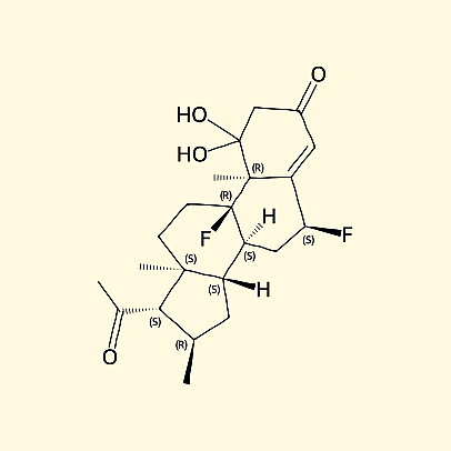 CC(=O)[C@H]1[C@H](C)C[C@H]2[C@@H]3C[C@H](F)C4=CC(=O)CC(O)(O)[C@]4(C)[C@@]3(F)CC[C@@]21C